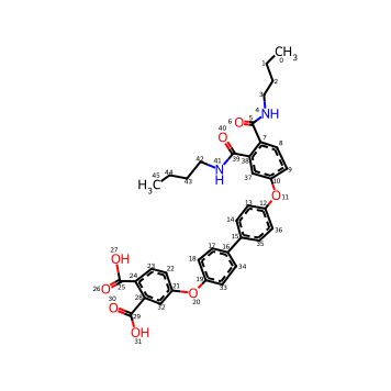 CCCCNC(=O)c1ccc(Oc2ccc(-c3ccc(Oc4ccc(C(=O)O)c(C(=O)O)c4)cc3)cc2)cc1C(=O)NCCCC